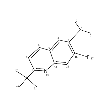 CC(C)c1cc2ccc(C(C)(C)C)nc2cc1F